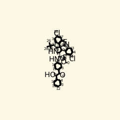 COc1cc(C(=O)C(O)c2ccccc2)ccc1NC(=O)[C@@H]1N[C@@H](CC(C)(C)C)[C@](C#N)(c2ccc(Cl)cc2F)[C@H]1c1cccc(Cl)c1F